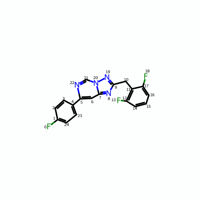 Fc1ccc(-c2cc3nc(Cc4c(F)cccc4F)nn3cn2)cc1